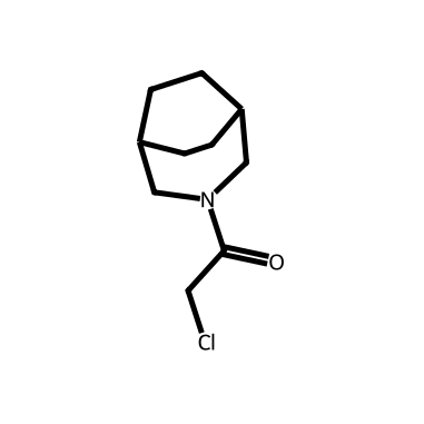 O=C(CCl)N1CC2CCC(CC2)C1